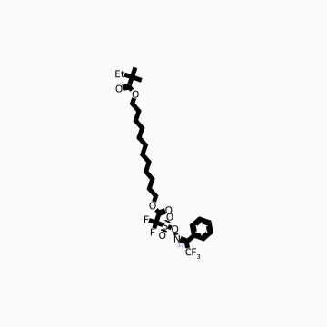 CCC(C)(C)C(=O)OCCCCCCCCCCCCOC(=O)C(F)(F)S(=O)(=O)O/N=C(\c1ccccc1)C(F)(F)F